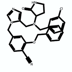 N#Cc1ccc(Cn2cncc2CN(Cc2cccc(Cl)c2)C2CCNC2=O)cc1OCc1ccccc1